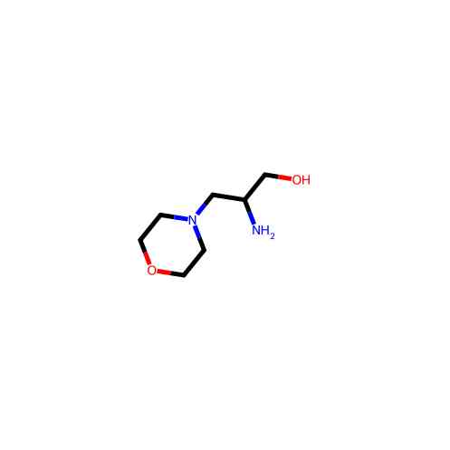 NC(CO)CN1CCOCC1